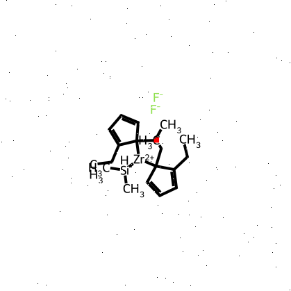 CCC1=CC=C[C]1(CC)[Zr+2]([SiH](C)C)[C]1(CC)C=CC=C1CC.[F-].[F-]